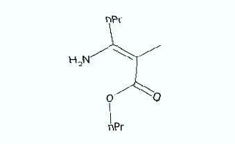 CCCOC(=O)C(C)=C(N)CCC